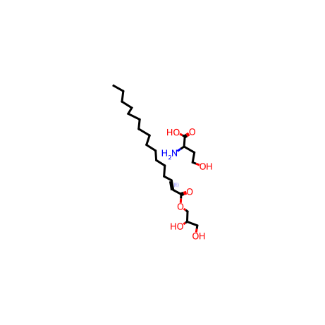 CCCCCCCCCCCCC/C=C/C(=O)OCC(O)CO.NC(CCO)C(=O)O